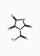 NC(=O)N1C(=O)NC(=O)C1=O